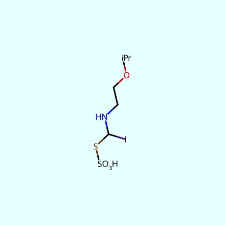 CC(C)OCCNC(I)SS(=O)(=O)O